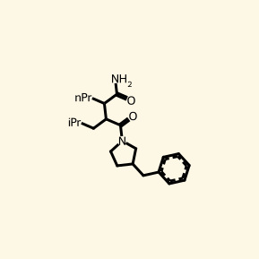 CCCC(C(N)=O)C(CC(C)C)C(=O)N1CCC(Cc2ccccc2)C1